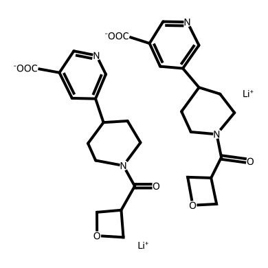 O=C([O-])c1cncc(C2CCN(C(=O)C3COC3)CC2)c1.O=C([O-])c1cncc(C2CCN(C(=O)C3COC3)CC2)c1.[Li+].[Li+]